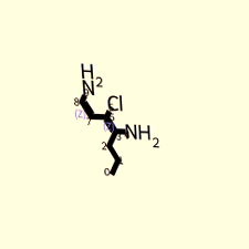 CCC/C(N)=C(Cl)\C=C/N